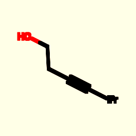 CC(C)C#CCCO